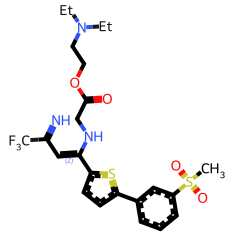 CCN(CC)CCOC(=O)CN/C(=C\C(=N)C(F)(F)F)c1ccc(-c2cccc(S(C)(=O)=O)c2)s1